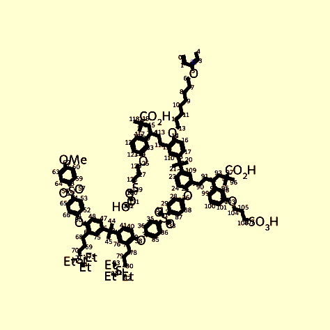 C=C/C(=C\C)OCCCCCCCCOc1ccc(C(C)(C)c2ccc(Oc3ccc(S(=O)(=O)c4ccc(Oc5ccc(C(C)(C)c6ccc(Oc7ccc(S(=O)(=O)c8ccc(OC)cc8)cc7)c(CCC[Si](CC)(CC)CC)c6)cc5CCC[Si](CC)(CC)CC)cc4)cc3)c(CCC(CC(C)(C)C(=O)O)c3cccc(OCCCS(=O)(=O)O)c3)c2)cc1CCC(CC(C)(C)C(=O)O)c1cccc(OCCCSOOO)c1